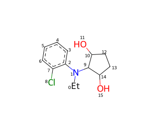 CCN(c1ccccc1Cl)C1C(O)CCC1O